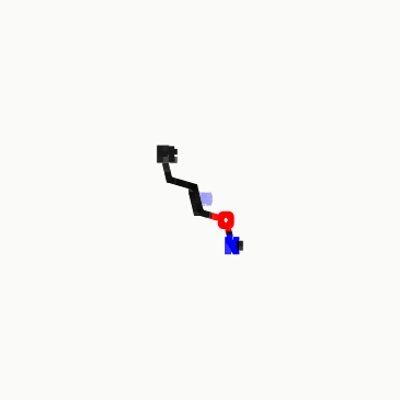 CCC/C=C/O[N]